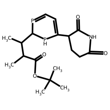 CC(C(=O)OC(C)(C)C)C(C)C1P=CC=C(C2CCC(=O)NC2=O)P1